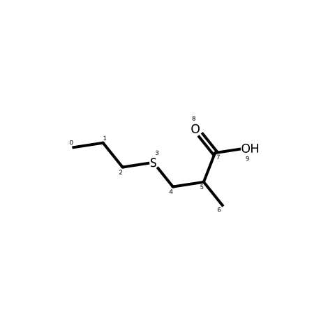 CCCSCC(C)C(=O)O